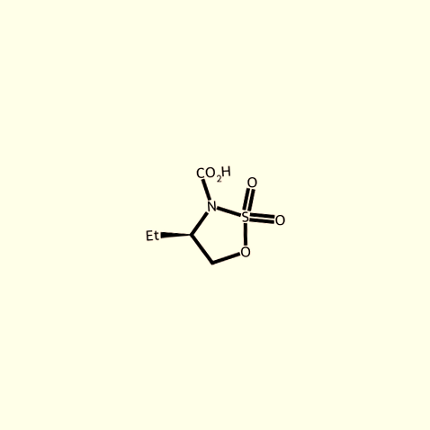 CC[C@@H]1COS(=O)(=O)N1C(=O)O